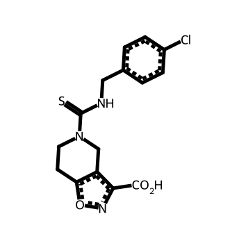 O=C(O)c1noc2c1CN(C(=S)NCc1ccc(Cl)cc1)CC2